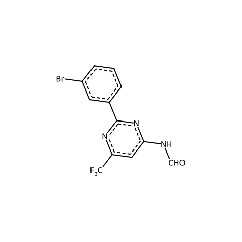 O=CNc1cc(C(F)(F)F)nc(-c2cccc(Br)c2)n1